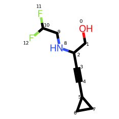 OCC(C#CC1CC1)NCC(F)F